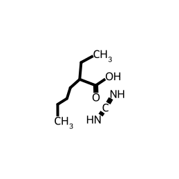 CCCCC(CC)C(=O)O.N=C=N